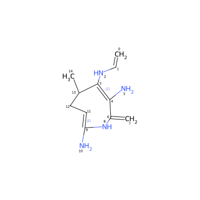 C=CN/C1=C(\N)C(=C)N/C(N)=C/CC1C